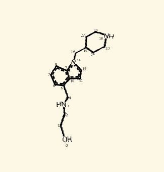 OCCNCc1cccc2c1ccn2CC1CCNCC1